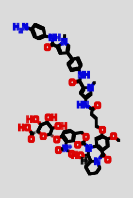 COc1cc2c(cc1OCCCC(=O)Nc1cc(C(=O)Nc3ccc(-c4cc(C(=O)Nc5ccc(N)cc5)n(C)c4)cc3)n(C)c1)N(C(=O)OCc1ccc(O[C@@H]3O[C@H](C(=O)O)[C@@H](O)[C@H](O)[C@H]3O)c([N+](=O)[O-])c1)C(O)[C@@H]1CCCCN1C2=O